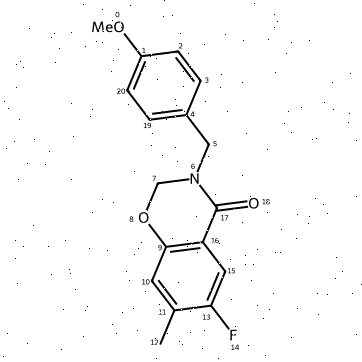 COc1ccc(CN2COc3cc(C)c(F)cc3C2=O)cc1